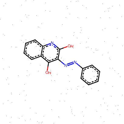 Oc1nc2ccccc2c(O)c1/N=N/c1ccccc1